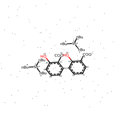 CCC[CH2][Sn+]([CH2]CCC)[CH2]CCC.CCC[CH2][Sn+]([CH2]CCC)[CH2]CCC.O=C([O-])c1ccccc1O.O=C([O-])c1ccccc1O